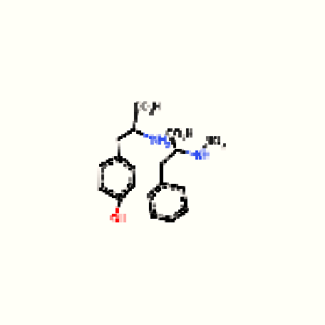 N[C@@H](Cc1ccc(O)cc1)C(=O)O.O=C(O)[C@H](Cc1ccccc1)N[N+](=O)[O-]